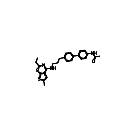 CCc1nc(NCCCc2ccc(-c3ccc(NC(C)=O)cc3)cc2)c2cc(C)sc2n1